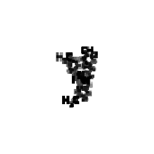 Cc1ccc(CC2CN(Cc3ccc(C)cc3)NN(Cc3ccc(C)cc3)C2)cc1